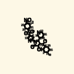 Cc1ccc(C(=O)C2=C(O)C(=O)N(c3ncc(S(=O)(=O)c4ccc([N+](=O)[O-])cc4)s3)C2c2cccnc2)cc1